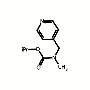 CC(C)OC(=O)N(C)Cc1ccncc1